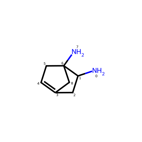 NC1CC2=CCC1(N)C2